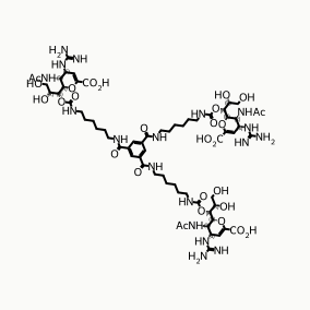 CC(=O)N[C@H]1[C@H]([C@H](OC(=O)NCCCCCCNC(=O)c2cc(C(=O)NCCCCCCNC(=O)O[C@@H]([C@@H]3OC(C(=O)O)=C[C@H](NC(=N)N)[C@H]3NC(C)=O)[C@H](O)CO)cc(C(=O)NCCCCCCNC(=O)O[C@@H]([C@@H]3OC(C(=O)O)=C[C@H](NC(=N)N)[C@H]3NC(C)=O)[C@H](O)CO)c2)[C@H](O)CO)OC(C(=O)O)=C[C@@H]1NC(=N)N